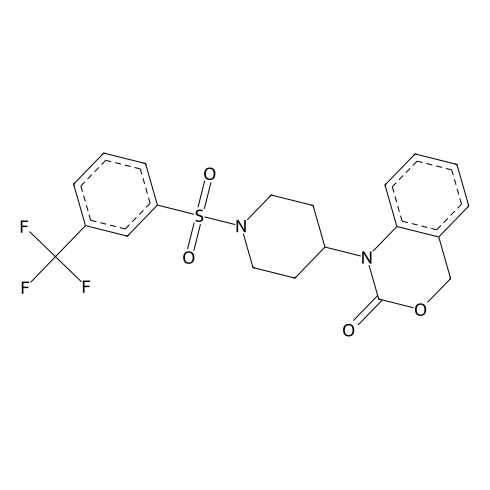 O=C1OCc2ccccc2N1C1CCN(S(=O)(=O)c2cccc(C(F)(F)F)c2)CC1